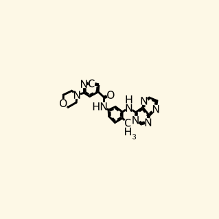 Cc1ccc(NC(=O)c2ccnc(N3CCOCC3)c2)cc1Nc1ncnc2nccnc12